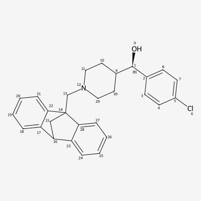 O[C@@H](c1ccc(Cl)cc1)C1CCN(CC23CC(c4ccccc42)c2ccccc23)CC1